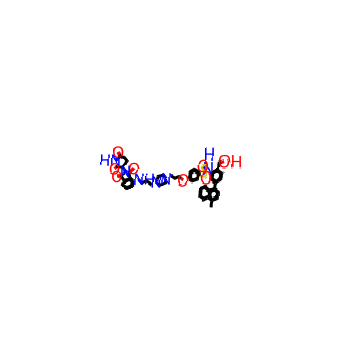 Cc1ccc(-c2ccc(CO)c(NS(=O)(=O)c3ccc(OCCCN4CCN(CCCNc5cccc6c5C(=O)N(C5CCC(=O)NC5=O)C6=O)CC4)cc3)c2)c2ccccc12